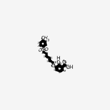 Cc1ccc(S(=O)(=O)CCCCCCOc2cccc(C(=O)O)c2O)cc1